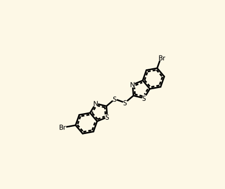 Brc1ccc2sc(SSc3nc4cc(Br)ccc4s3)nc2c1